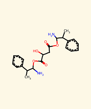 CC(c1ccccc1)C(N)OC(=O)CC(O)C(=O)OC(N)C(C)c1ccccc1